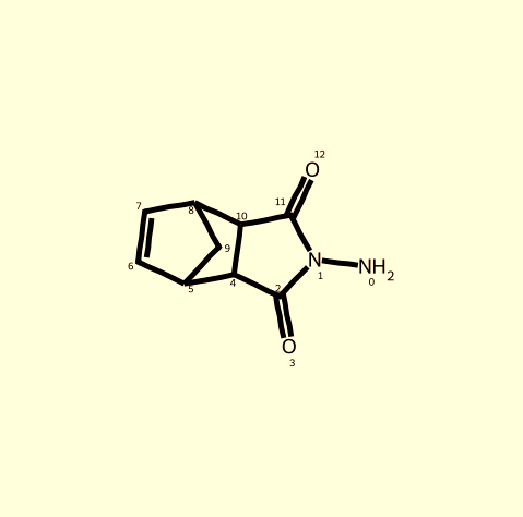 NN1C(=O)C2C3C=CC(C3)C2C1=O